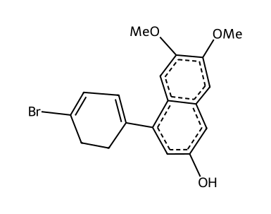 COc1cc2cc(O)cc(C3=CC=C(Br)CC3)c2cc1OC